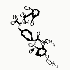 COc1ccc2c(c1)N(C)C(=O)N(c1ccc(C[C@H](NC(=O)c3c(Cl)cccc3Cl)C(=O)O)cc1)S2(=O)=O